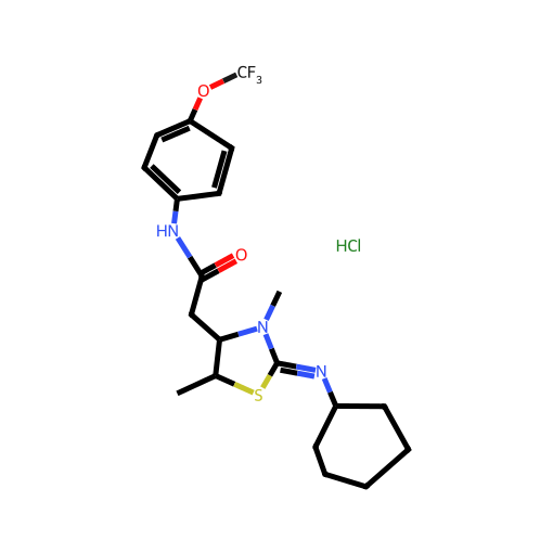 CC1S/C(=N\C2CCCCC2)N(C)C1CC(=O)Nc1ccc(OC(F)(F)F)cc1.Cl